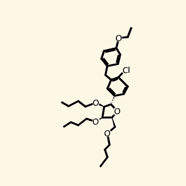 CCCCOC[C@@H]1O[C@@H](c2ccc(Cl)c(Cc3ccc(OCC)cc3)c2)[C@H](OCCCC)[C@H]1OCCCC